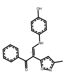 Cc1cc(/C(=C\Nc2ccc(O)cc2)C(=O)c2ccccc2)on1